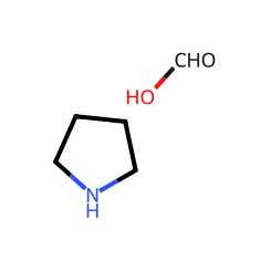 C1CCNC1.O=CO